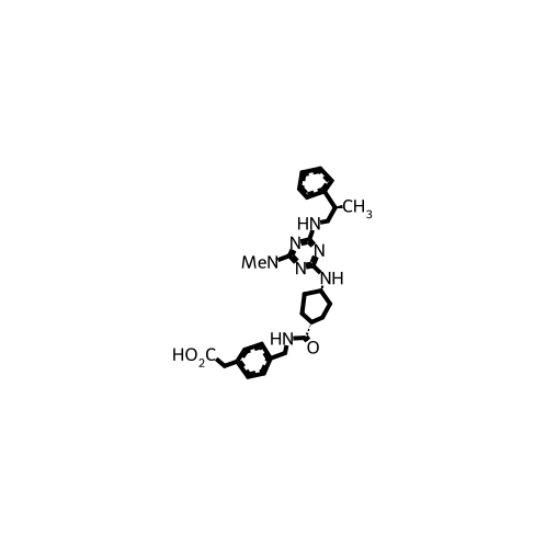 CNc1nc(NC[C@H](C)c2ccccc2)nc(N[C@H]2CC[C@@H](C(=O)NCc3ccc(CC(=O)O)cc3)CC2)n1